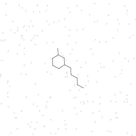 C[CH]CCCC1CCCC(C)C1